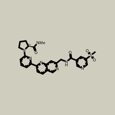 CNC(=O)[C@@H]1CCCN1c1cccc(-c2ccc3cnc(CNC(=O)c4cncc(S(C)(=O)=O)c4)cc3n2)n1